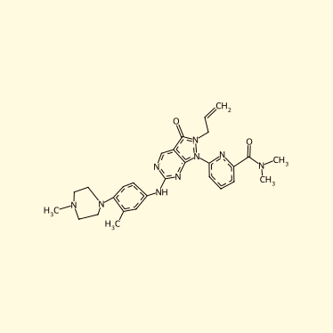 C=CCn1c(=O)c2cnc(Nc3ccc(N4CCN(C)CC4)c(C)c3)nc2n1-c1cccc(C(=O)N(C)C)n1